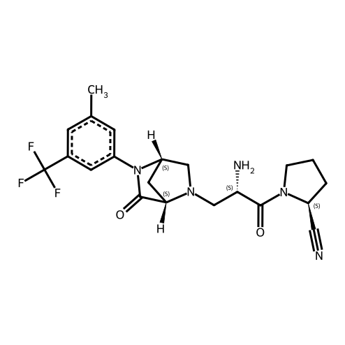 Cc1cc(N2C(=O)[C@@H]3C[C@H]2CN3C[C@H](N)C(=O)N2CCC[C@H]2C#N)cc(C(F)(F)F)c1